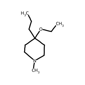 CCCC1(OCC)CCN(C)CC1